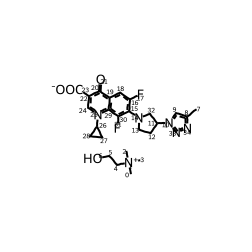 C[N+](C)(C)CCO.Cc1cn(C2CCN(c3c(F)cc4c(=O)c(C(=O)[O-])cn(C5CC5)c4c3F)C2)nn1